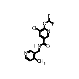 Cc1ccncc1CNC(=O)c1cnc(OC(F)F)c(Cl)c1